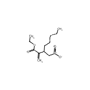 C=C(C(=O)OCC)C(CCCCC)C[N+](=O)[O-]